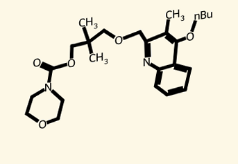 CCCCOc1c(C)c(COCC(C)(C)COC(=O)N2CCOCC2)nc2ccccc12